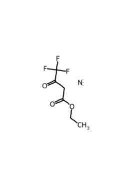 CCOC(=O)CC(=O)C(F)(F)F.[N]